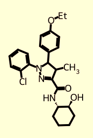 CCOc1ccc(C2C(C)C(C(=O)N[C@H]3CCCC[C@@H]3O)=NN2c2ccccc2Cl)cc1